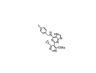 COc1ncnc(C2CC2)c1-c1nc(NCc2ccc(I)cc2)c2[nH]cnc2n1